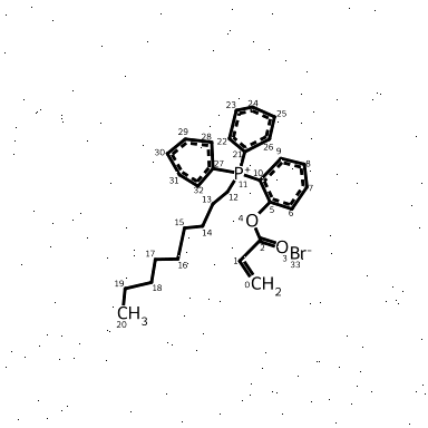 C=CC(=O)Oc1ccccc1[P+](CCCCCCCCC)(c1ccccc1)c1ccccc1.[Br-]